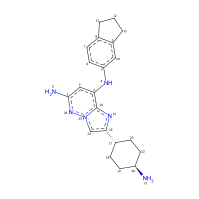 Nc1cc(Nc2ccc3c(c2)CCC3)c2nc([C@H]3CC[C@H](N)CC3)cn2n1